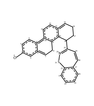 Clc1ccc2c(c1)=CCc1c3c(ccc1=2)=CCCC3C1=NSc2ccccc2C=C1